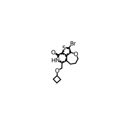 O=c1[nH]c(COC2CCC2)c2c3c(c(Br)sc13)OCCC2